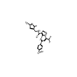 CCn1cc(CNC(=O)c2cnn3c(C(F)F)cc(-c4ccc(OC)cc4)nc23)c(C)n1